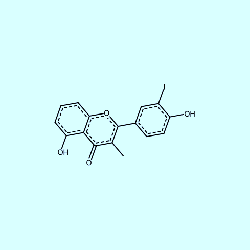 Cc1c(-c2ccc(O)c(I)c2)oc2cccc(O)c2c1=O